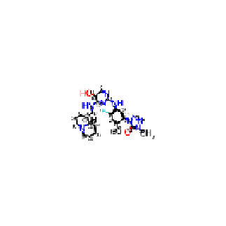 CCC(C)c1cc(F)c(Nc2ncc(O)c(NC[C@@H]3CCCN4CCCC[C@H]34)n2)cc1-n1nnn(C)c1=O